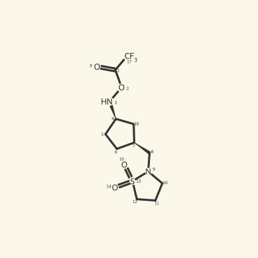 O=C(ON[C@@H]1CC[C@H](CN2CCCS2(=O)=O)C1)C(F)(F)F